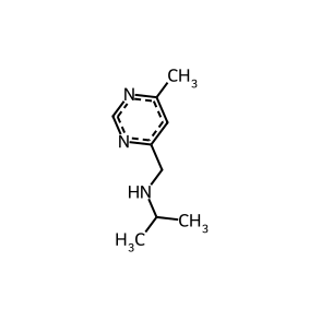 Cc1cc(CNC(C)C)ncn1